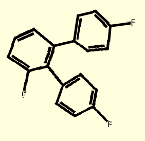 Fc1ccc(-c2[c]ccc(F)c2-c2ccc(F)cc2)cc1